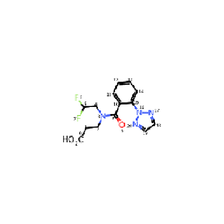 O=C(O)CCN(CC(F)F)C(=O)c1ccccc1-n1nccn1